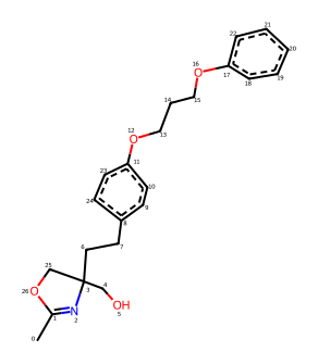 CC1=NC(CO)(CCc2ccc(OCCCOc3ccccc3)cc2)CO1